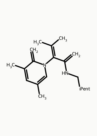 C=C(NCC(C)CCC)C(=C(C)C)N1C=C(C)C=C(C)C1=C